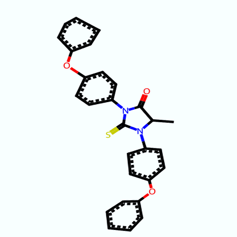 CC1C(=O)N(c2ccc(Oc3ccccc3)cc2)C(=S)N1c1ccc(Oc2ccccc2)cc1